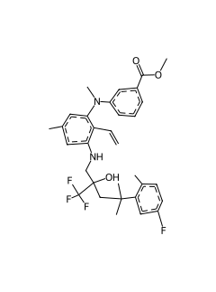 C=Cc1c(NCC(O)(CC(C)(C)c2cc(F)ccc2C)C(F)(F)F)cc(C)cc1N(C)c1cccc(C(=O)OC)c1